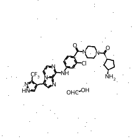 N[C@@H]1CC[C@H](C(=O)N2CCN(C(=O)c3ccc(Nc4nccn5c(-c6c[nH]nc6C(F)(F)F)cnc45)cc3Cl)CC2)C1.O=CO